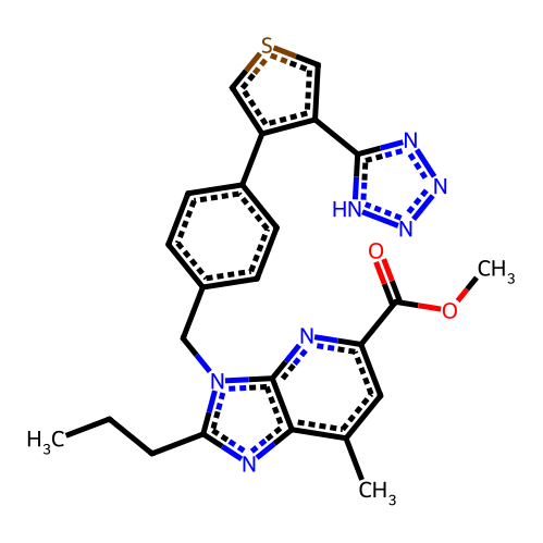 CCCc1nc2c(C)cc(C(=O)OC)nc2n1Cc1ccc(-c2cscc2-c2nnn[nH]2)cc1